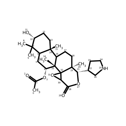 CC(=O)O[C@@H]1CC2C(C)(C)[C@H](O)CC[C@]2(C)C2CC[C@@]3(C)[C@H](C4CCNC4)OC(=O)C4OC43[C@@]21C